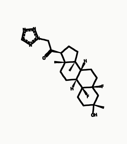 C[C@@]1(O)CC[C@]2(F)[C@H]3CC[C@]4(C)[C@@H](C(=O)Cn5ncnn5)CC[C@@]4(C)[C@@H]3CC[C@]2(F)C1